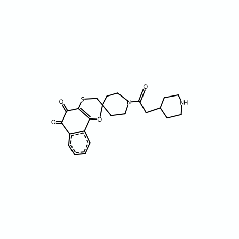 O=C1C(=O)c2ccccc2C2=C1SCC1(CCN(C(=O)CC3CCNCC3)CC1)O2